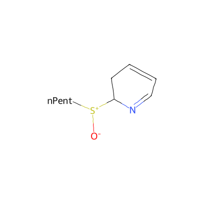 CCCCC[S+]([O-])C1CC=CC=N1